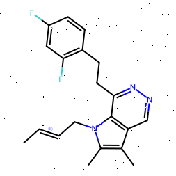 C/C=C/Cn1c(C)c(C)c2cnnc(CCc3ccc(F)cc3F)c21